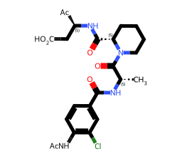 CC(=O)Nc1ccc(C(=O)N[C@@H](C)C(=O)N2CCCC[C@H]2C(=O)N[C@@H](CC(=O)O)C(C)=O)cc1Cl